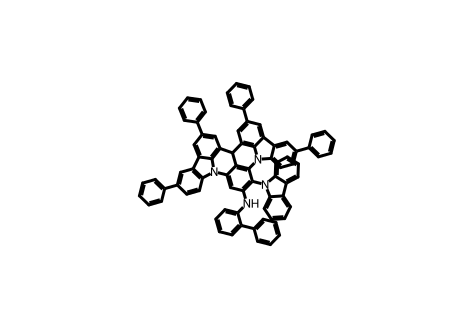 c1ccc(-c2ccc3c(c2)c2cc(-c4ccccc4)cc4c2n3-c2cc(Nc3ccccc3-c3ccccc3)c(-n3c5ccccc5c5ccccc53)c3c2C4c2cc(-c4ccccc4)cc4c5cc(-c6ccccc6)ccc5n-3c24)cc1